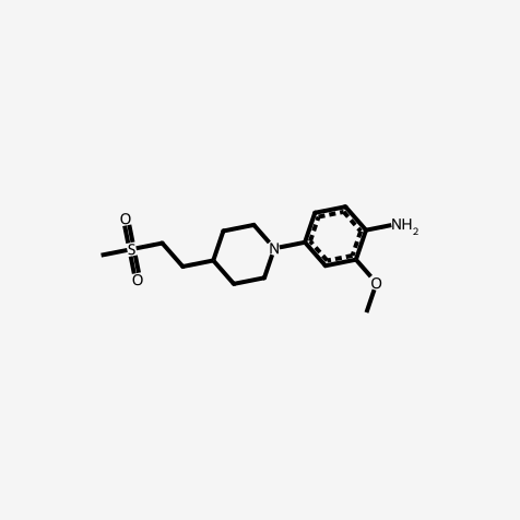 COc1cc(N2CCC(CCS(C)(=O)=O)CC2)ccc1N